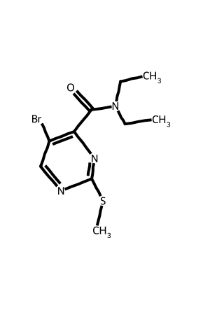 CCN(CC)C(=O)c1nc(SC)ncc1Br